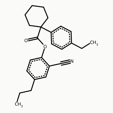 CCCc1ccc(OC(=O)C2(c3ccc(CC)cc3)CCCCC2)c(C#N)c1